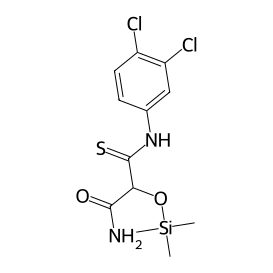 C[Si](C)(C)OC(C(N)=O)C(=S)Nc1ccc(Cl)c(Cl)c1